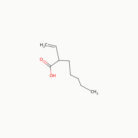 C=C[C](CCCCC)C(=O)O